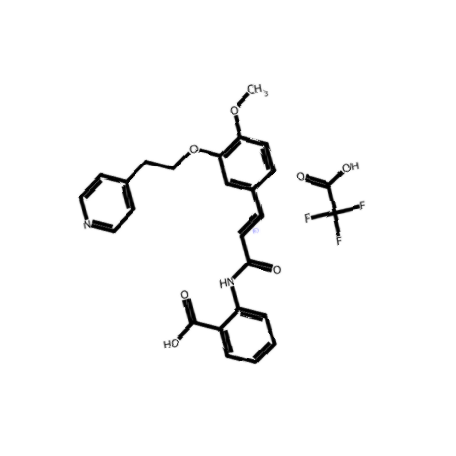 COc1ccc(/C=C/C(=O)Nc2ccccc2C(=O)O)cc1OCCc1ccncc1.O=C(O)C(F)(F)F